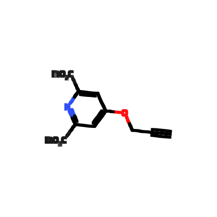 C#CCOc1cc(C(=O)OCC)nc(C(=O)OCC)c1